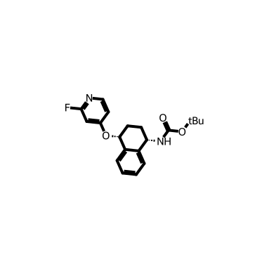 CC(C)(C)OC(=O)N[C@H]1CC[C@@H](Oc2ccnc(F)c2)c2ccccc21